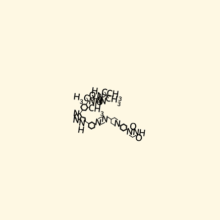 Cc1cc(-c2ncnc3[nH]c(-c4cccc(N5CCN(CC6CCN(c7ccc(N8CCC(=O)NC8=O)cc7)CC6)CC5)c4)cc23)ccc1C(C)NC(=O)c1nc(C(C)(C)C)no1